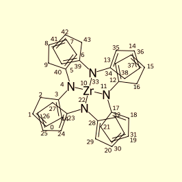 C1=CCC([N](C2=CC=CC2)[Zr]([N](C2=CC=CC2)C2=CC=CC2)([N](C2=CC=CC2)C2=CC=CC2)[N](C2=CC=CC2)C2=CC=CC2)=C1